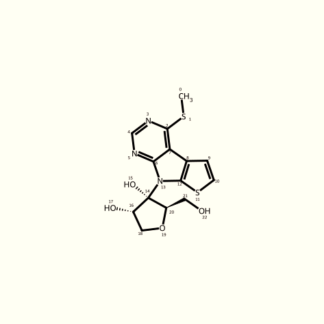 CSc1ncnc2c1c1ccsc1n2[C@]1(O)[C@@H](O)CO[C@@H]1CO